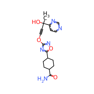 CC(O)(C#COc1noc(C2CCC(C(N)=O)CC2)n1)c1ccncn1